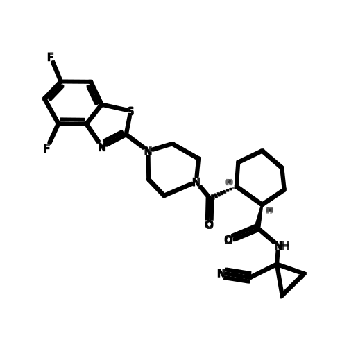 N#CC1(NC(=O)[C@@H]2CCCC[C@H]2C(=O)N2CCN(c3nc4c(F)cc(F)cc4s3)CC2)CC1